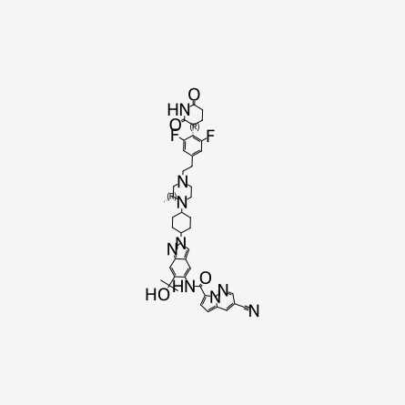 C[C@@H]1CN(CCc2cc(F)c([C@H]3CCC(=O)NC3=O)c(F)c2)CCN1C1CCC(n2cc3cc(NC(=O)c4ccc5cc(C#N)cnn45)c(C(C)(C)O)cc3n2)CC1